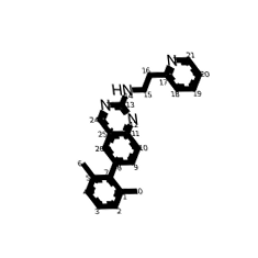 Cc1cccc(C)c1-c1ccc2nc(NCCc3ccccn3)ncc2c1